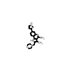 Cc1c(CN2CCOCC2)[nH]c2c1c(N)nc1cc(-c3cc[nH]n3)ccc12